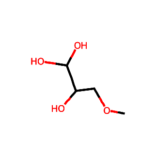 COCC(O)C(O)O